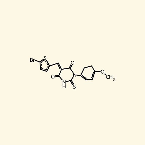 COC1=CC=C(N2C(=O)/C(=C/c3ccc(Br)s3)C(=O)NC2=S)CC1